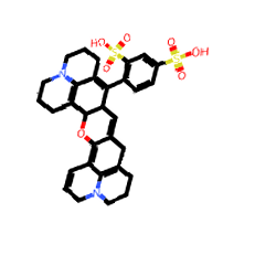 O=S(=O)(O)c1ccc(C2=C3CCCN4CCCC(=C34)C3OC4=C5C=CCN6CCCC(=C56)CC4=CC23)c(S(=O)(=O)O)c1